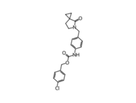 O=C(Nc1ccc(CN2CCC3(CC3)C2=O)cc1)OCc1ccc(Cl)cc1